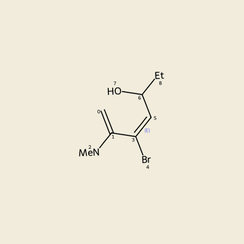 C=C(NC)/C(Br)=C\C(O)CC